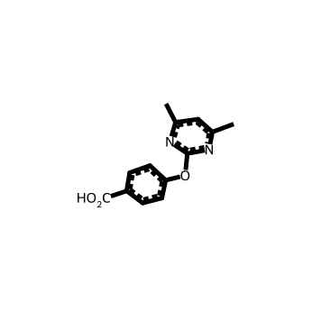 Cc1cc(C)nc(Oc2ccc(C(=O)O)cc2)n1